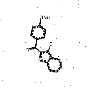 COc1ccc(C(=O)c2sc3ccccc3c2Cl)cc1